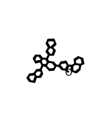 C1=CC2C=Cc3oc4cc(-c5ccc6c(-c7ccc8ccccc8c7)c7ccccc7c(-c7ccc8ccccc8c7)c6c5)ccc4c3C2C=C1